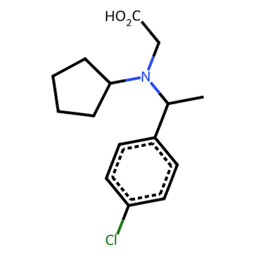 CC(c1ccc(Cl)cc1)N(CC(=O)O)C1CCCC1